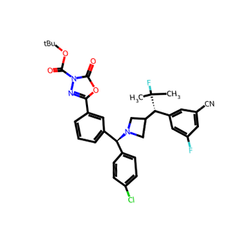 CC(C)(C)OC(=O)n1nc(-c2cccc([C@H](c3ccc(Cl)cc3)N3CC([C@@H](c4cc(F)cc(C#N)c4)C(C)(C)F)C3)c2)oc1=O